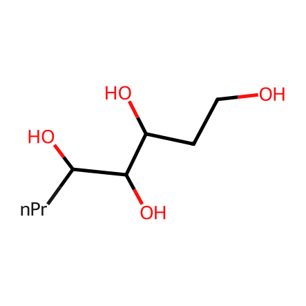 CCCC(O)C(O)C(O)CCO